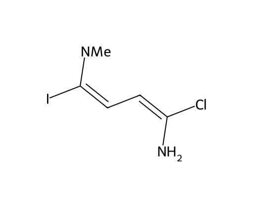 CN/C(I)=C\C=C(/N)Cl